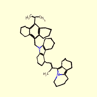 CC(C)c1c2c(c(Cn3c4c(c5c3CCCC5CC(C)c3c5c(c6n3CCCC6)CCCC5)CCCC4)c3c1CCCC3)CCCC2